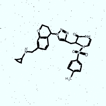 Cc1ccc(S(=O)(=O)N2C=CNC(=O)C2Cc2cn(C3CCOc4cc(CNC5CC5)ccc43)nn2)cc1